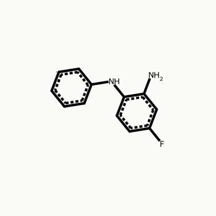 Nc1cc(F)ccc1Nc1c[c]ccc1